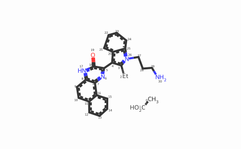 CC(=O)O.CCc1c(-c2nc3c(ccc4ccccc43)[nH]c2=O)c2ccccc2n1CCCN